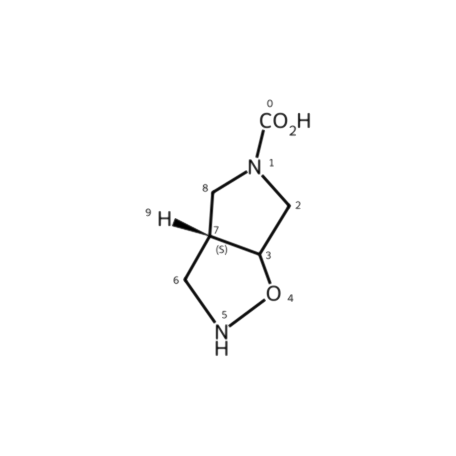 O=C(O)N1CC2ONC[C@@H]2C1